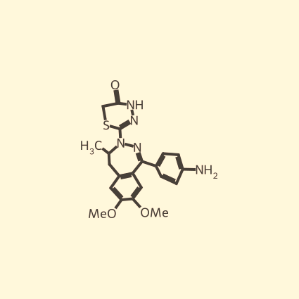 COc1cc2c(cc1OC)C(c1ccc(N)cc1)=NN(C1=NNC(=O)CS1)C(C)C2